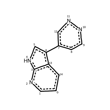 c1cnc2[nH]cc(-c3ccnnc3)c2c1